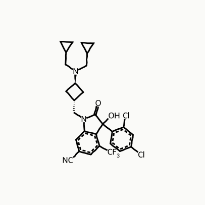 N#Cc1cc2c(c(C(F)(F)F)c1)C(O)(c1ccc(Cl)cc1Cl)C(=O)N2C[C@H]1C[C@H](N(CC2CC2)CC2CC2)C1